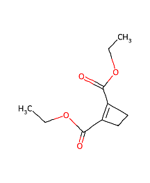 CCOC(=O)C1=C(C(=O)OCC)CC1